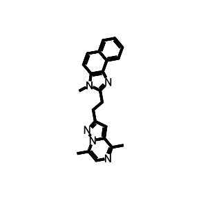 Cc1ncc(C)n2nc(CCc3nc4c5ccccc5ccc4n3C)cc12